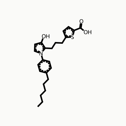 CCCCCCc1ccc(-n2ccc(O)c2CCCc2ccc(C(=O)O)s2)cc1